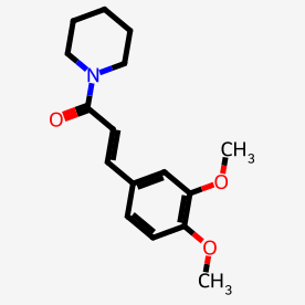 COc1ccc(/C=C/C(=O)N2CCCCC2)cc1OC